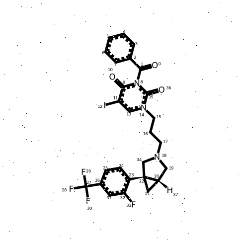 O=C(c1ccccc1)n1c(=O)c(I)cn(CCCN2C[C@@H]3C[C@]3(c3ccc(C(F)(F)F)cc3F)C2)c1=O